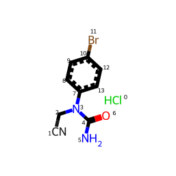 Cl.N#CCN(C(N)=O)c1ccc(Br)cc1